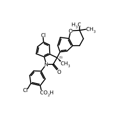 CC1(C)CCc2cc([C@]3(C)C(=O)N(c4ccc(Cl)c(C(=O)O)c4)c4ccc(Cl)cc43)ccc2O1